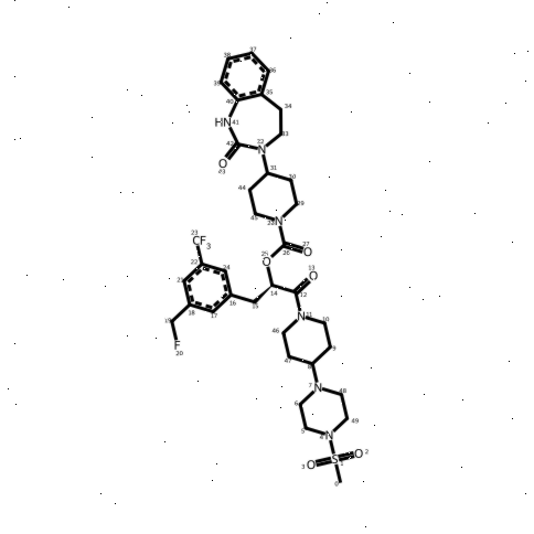 CS(=O)(=O)N1CCN(C2CCN(C(=O)[C@@H](Cc3cc(CF)cc(C(F)(F)F)c3)OC(=O)N3CCC(N4CCc5ccccc5NC4=O)CC3)CC2)CC1